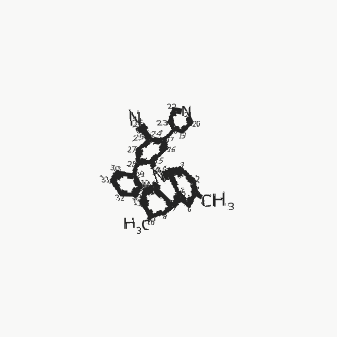 Cc1ccc2c(c1)c1cc(C)ccc1n2-c1cc(-c2ccncc2)c(C#N)cc1-c1ccccc1